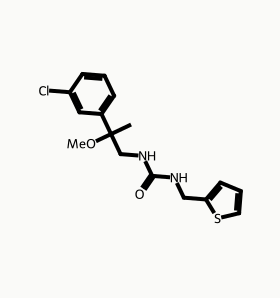 COC(C)(CNC(=O)NCc1cccs1)c1cccc(Cl)c1